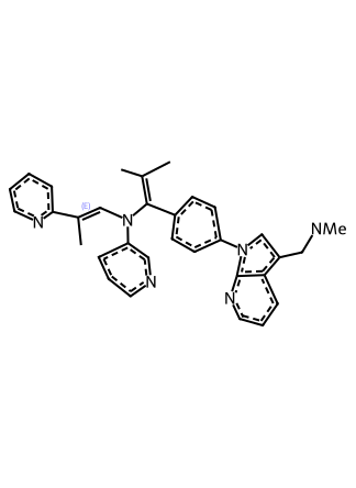 CNCc1cn(-c2ccc(C(=C(C)C)N(/C=C(\C)c3ccccn3)c3cccnc3)cc2)c2ncccc12